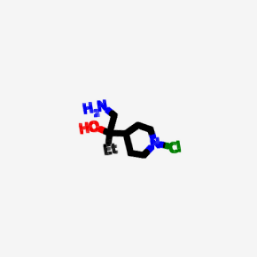 CCC(O)(CN)C1CCN(Cl)CC1